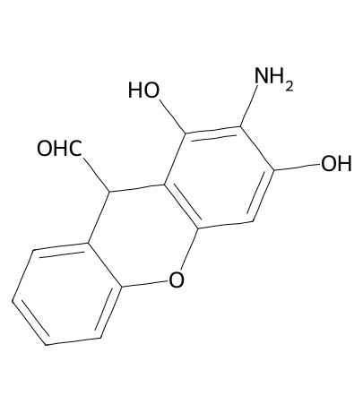 Nc1c(O)cc2c(c1O)C(C=O)c1ccccc1O2